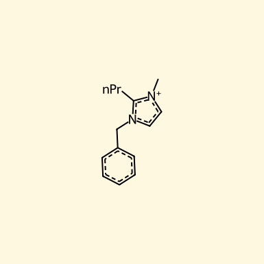 CCCc1n(Cc2ccccc2)cc[n+]1C